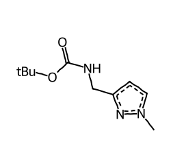 Cn1ccc(CNC(=O)OC(C)(C)C)n1